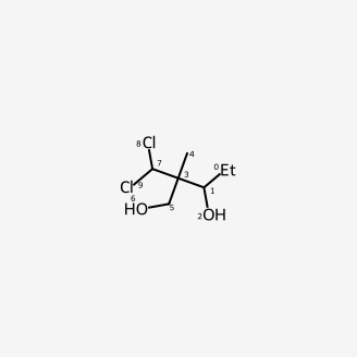 CCC(O)C(C)(CO)C(Cl)Cl